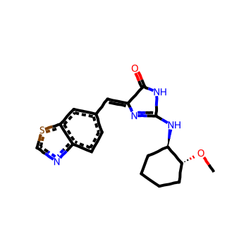 CO[C@@H]1CCCC[C@H]1NC1=N/C(=C\c2ccc3ncsc3c2)C(=O)N1